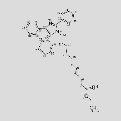 CCOC(=O)CCCCCCCCCCn1c(-c2ccccc2)nc(-c2ccccc2)c1-c1ccccc1